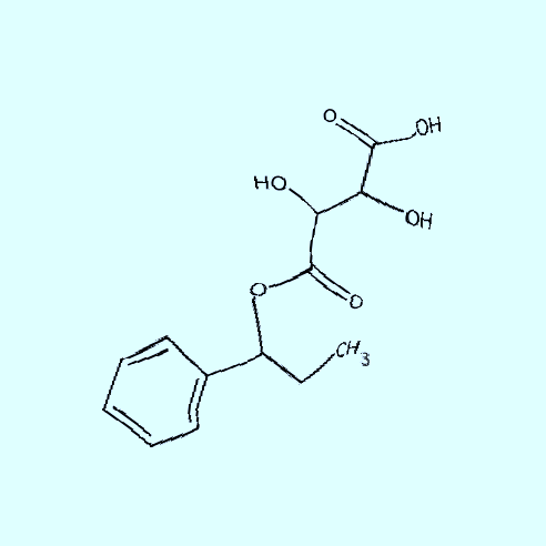 CCC(OC(=O)C(O)C(O)C(=O)O)c1ccccc1